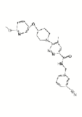 COc1ccc(OC2CCN(c3nnc(C(=O)NCc4cccc(C#N)c4)cc3C)CC2)cn1